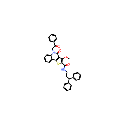 COc1c(C(=O)NCCC(c2ccccc2)c2ccccc2)sc2c1c(=O)n(CC(=O)c1ccccc1)c1ccccc21